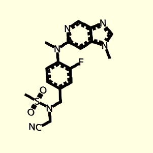 CN(c1cc2c(cn1)ncn2C)c1ccc(CN(CC#N)S(C)(=O)=O)cc1F